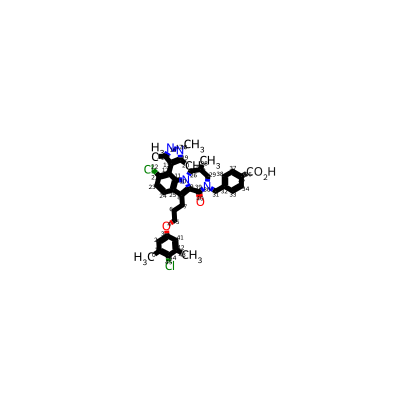 Cc1cc(OCCCc2c3n(c4c(-c5c(C)nn(C)c5C)c(Cl)ccc24)CC(C)CN(Cc2ccc(C(=O)O)cc2)C3=O)cc(C)c1Cl